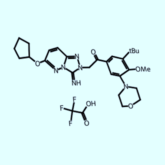 COc1c(N2CCOCC2)cc(C(=O)Cn2nc3ccc(OC4CCCC4)nn3c2=N)cc1C(C)(C)C.O=C(O)C(F)(F)F